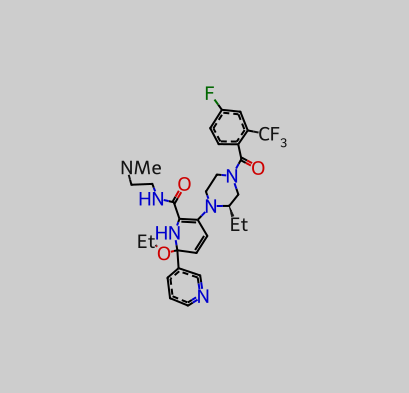 CCOC1(c2cccnc2)C=CC(N2CCN(C(=O)c3ccc(F)cc3C(F)(F)F)C[C@H]2CC)=C(C(=O)NCCNC)N1